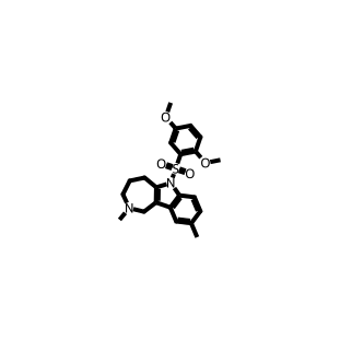 COc1ccc(OC)c(S(=O)(=O)n2c3c(c4cc(C)ccc42)CN(C)CCC3)c1